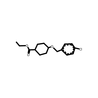 CCOC(=O)C1CCC(OCc2ccc(Cl)cc2)CC1